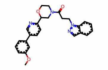 COc1cccc(-c2ccc(C3CN(C(=O)CCn4ncc5ccccc54)CCO3)nc2)c1